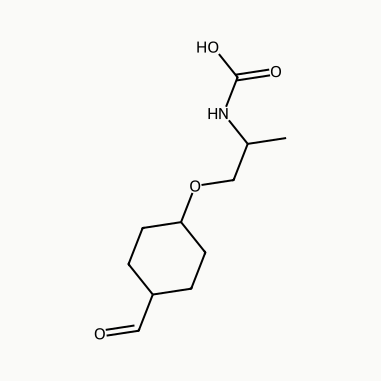 CC(COC1CCC(C=O)CC1)NC(=O)O